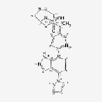 CN(c1ccc(-c2ccc(-n3cccn3)c3cn[nH]c23)nn1)C1CC2CCC(C1)N2C(=O)O